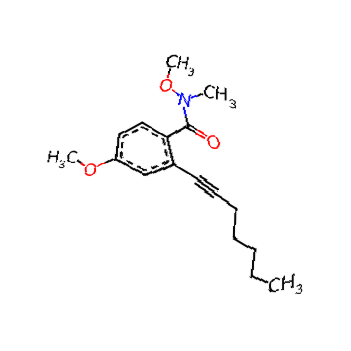 CCCCCC#Cc1cc(OC)ccc1C(=O)N(C)OC